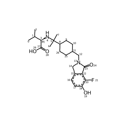 CC(C)[C@@H](NC(C)(C)C1CCC(CN2Cc3ccc(O)c(F)c3C2=O)CC1)C(=O)O